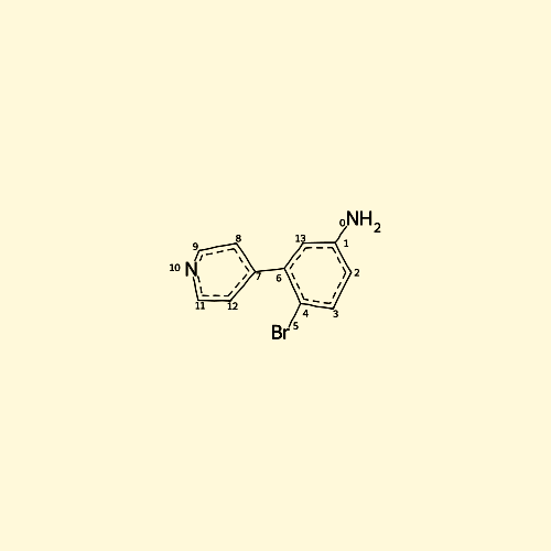 Nc1ccc(Br)c(-c2ccncc2)c1